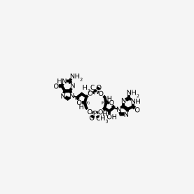 CP1(=O)OC[C@H]2O[C@@H](n3cnc4c(=O)[nH]c(N)nc43)C(O)[C@H]2OP(C)(=O)OC[C@H]2O[C@@H](n3cnc4c(=O)[nH]c(N)nc43)CC2O1